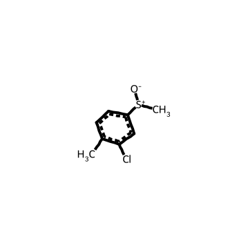 Cc1ccc([S+](C)[O-])cc1Cl